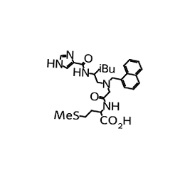 CCC(C)C(CN(CC(=O)NC(CCSC)C(=O)O)Cc1cccc2ccccc12)NC(=O)c1c[nH]cn1